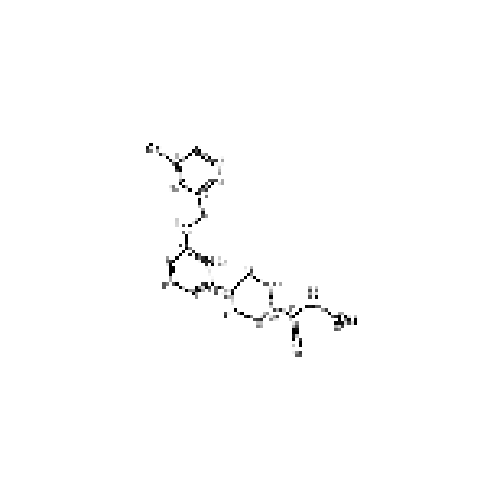 CC(=O)c1cccc(COc2cccc(C3CCN(C(=O)OC(C)(C)C)CC3)n2)c1